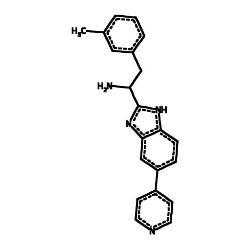 Cc1cccc(CC(N)c2nc3cc(-c4ccncc4)ccc3[nH]2)c1